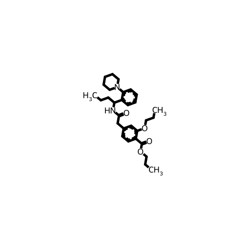 CCCOC(=O)c1ccc(CC(=O)NC(CCC)c2ccccc2N2CCCCC2)cc1OCCC